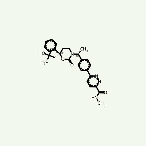 CNC(=O)c1ccc(-c2ccc([C@H](C)N3CC[C@](CC(C)(C)O)(c4ccccc4)OC3=O)cc2)nn1